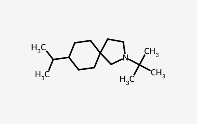 CC(C)C1CCC2(CC1)CCN(C(C)(C)C)C2